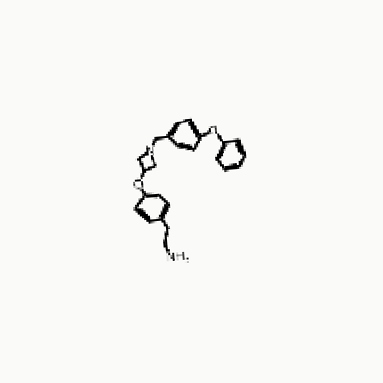 NCCc1ccc(OC2CN(Cc3ccc(Oc4ccccc4)cc3)C2)cc1